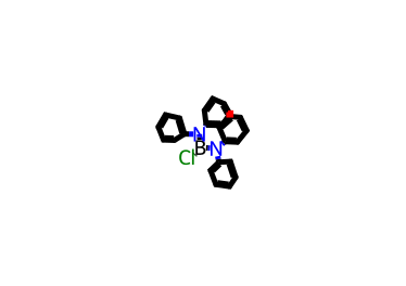 ClB(N(c1ccccc1)c1ccccc1)N(c1ccccc1)c1ccccc1